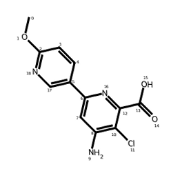 COc1ccc(-c2cc(N)c(Cl)c(C(=O)O)n2)cn1